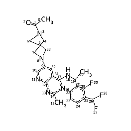 CC(=O)N1CC2(C1)CN(c1cnc3nc(C)nc(NC(C)c4cccc(C(F)F)c4F)c3c1)C2